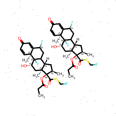 CCC(=O)O[C@]1(C(=O)SCF)[C@H](C)C[C@H]2C3C[C@H](F)C4=CC(=O)C=C[C@]4(C)[C@@]3(F)[C@@H](O)C[C@@]21C.CCC(=O)O[C@]1(C(=O)SCF)[C@H](C)C[C@H]2C3C[C@H](F)C4=CC(=O)C=C[C@]4(C)[C@@]3(F)[C@@H](O)C[C@@]21C